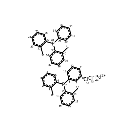 Cc1ccccc1P(c1ccccc1)c1ccccc1C.Cc1ccccc1P(c1ccccc1)c1ccccc1C.[Cl-].[Cl-].[Pd+2]